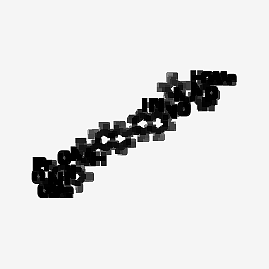 COC(=O)N[C@H](C(=O)N1CCC[C@H]1c1ncc(-c2ccc3cc(C4=CC5CCc6nc([C@@H]7CCCN7C(=O)[C@@H](NC(=O)OC)C(C)C)[nH]c6C5C=C4)ccc3c2)[nH]1)C(C)C